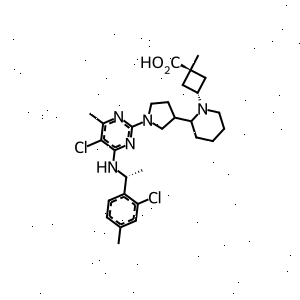 Cc1ccc([C@@H](C)Nc2nc(N3CCC(C4CCCCN4[C@H]4C[C@](C)(C(=O)O)C4)C3)nc(C)c2Cl)c(Cl)c1